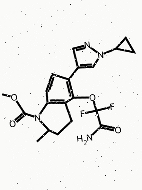 COC(=O)N1c2ccc(-c3cnn(C4CC4)c3)c(OC(F)(F)C(N)=O)c2CCC1C